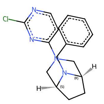 Clc1nccc(N2C[C@H]3CC[C@@H](C2)N3Cc2ccccc2)n1